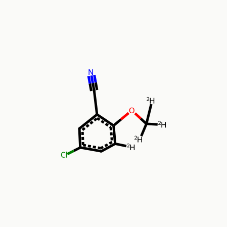 [2H]c1cc(Cl)cc(C#N)c1OC([2H])([2H])[2H]